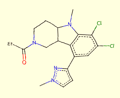 CCC(=O)N1CCC2C(C1)c1c(-c3ccn(C)n3)cc(Cl)c(Cl)c1N2C